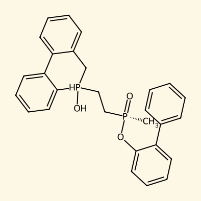 C[P@@](=O)(CC[PH]1(O)Cc2ccccc2-c2ccccc21)Oc1ccccc1-c1ccccc1